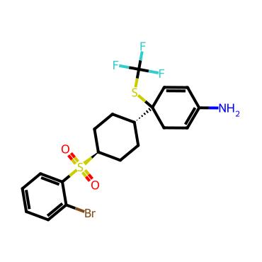 NC1=CCC(SC(F)(F)F)([C@H]2CC[C@H](S(=O)(=O)c3ccccc3Br)CC2)C=C1